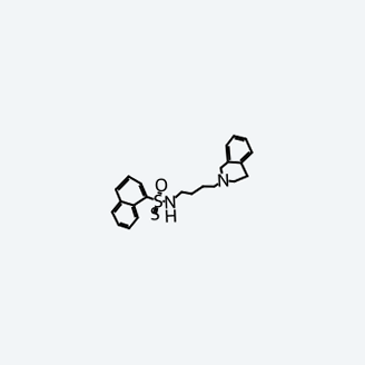 O=S(=S)(NCCCCN1CCc2ccccc2C1)c1cccc2ccccc12